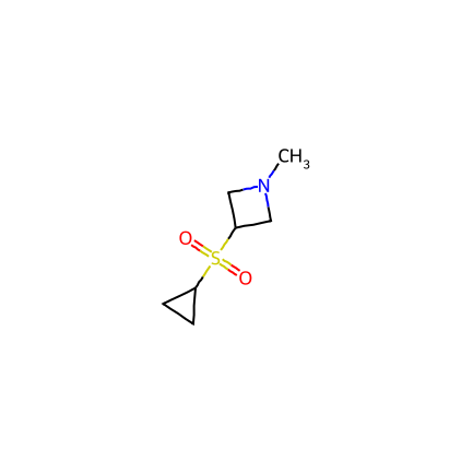 CN1CC(S(=O)(=O)C2CC2)C1